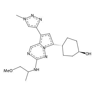 COCC(C)Nc1ncc2c(-c3cn(C)nn3)cc([C@H]3CC[C@H](O)CC3)n2n1